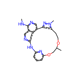 CNc1ncc2c3cc(ncc13)Nc1cccc(n1)OCC(C)OCCc1cc-2nn1C